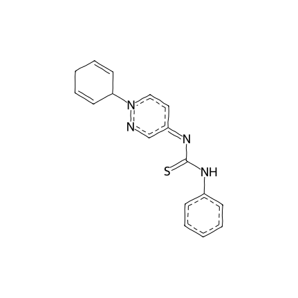 S=C(N=c1ccn(C2C=CCC=C2)nc1)Nc1ccccc1